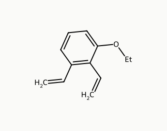 C=Cc1cccc(OCC)c1C=C